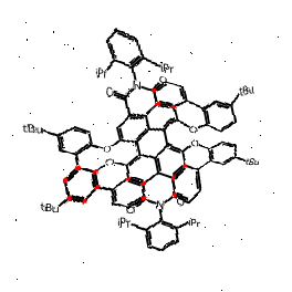 CC(C)c1cccc(C(C)C)c1N1C(=O)c2cc(Oc3ccc(C(C)(C)C)cc3-c3ccccc3)c3c4c(Oc5ccc(C(C)(C)C)cc5-c5ccccc5)cc5c6c(cc(Oc7ccc(C(C)(C)C)cc7-c7ccccc7)c(c7c(Oc8ccc(C(C)(C)C)cc8-c8ccccc8)cc(c2c37)C1=O)c64)C(=O)N(c1c(C(C)C)cccc1C(C)C)C5=O